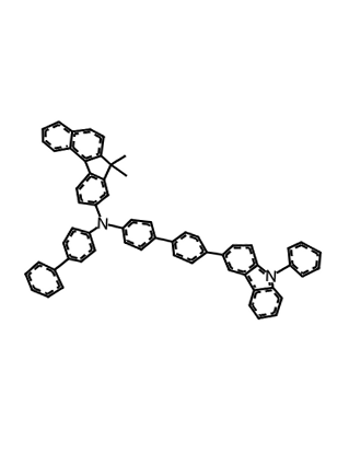 CC1(C)c2cc(N(c3ccc(-c4ccccc4)cc3)c3ccc(-c4ccc(-c5ccc6c(c5)c5ccccc5n6-c5ccccc5)cc4)cc3)ccc2-c2c1ccc1ccccc21